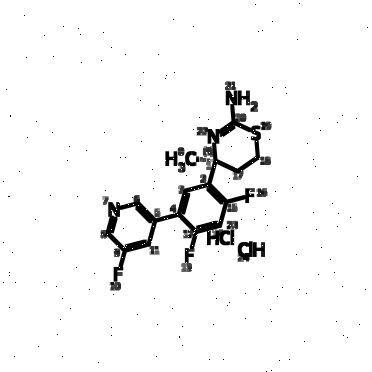 C[C@@]1(c2cc(-c3cncc(F)c3)c(F)cc2F)CCSC(N)=N1.Cl.Cl